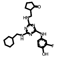 O=C1CCCC1CNc1nc(NCC2CCCCC2)nc(Nc2ccc(O)c(F)c2)n1